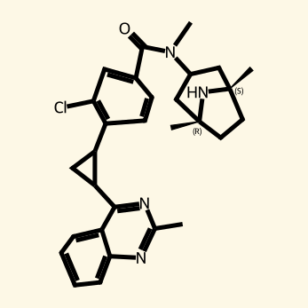 Cc1nc(C2CC2c2ccc(C(=O)N(C)C3C[C@]4(C)CC[C@](C)(C3)N4)cc2Cl)c2ccccc2n1